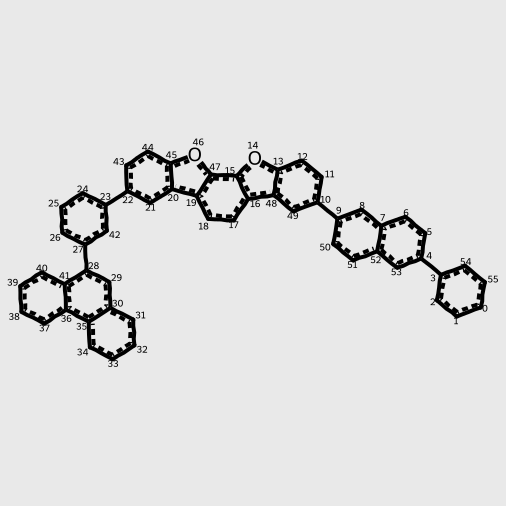 c1ccc(-c2ccc3cc(-c4ccc5oc6c(ccc7c8cc(-c9cccc(-c%10cc%11ccccc%11c%11ccccc%10%11)c9)ccc8oc76)c5c4)ccc3c2)cc1